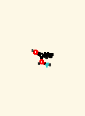 [Mg].[O]=[GeH][O]F